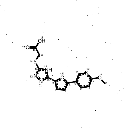 COc1ccc(-c2ccc(-c3nnc(SCC(=O)O)[nH]3)o2)cn1